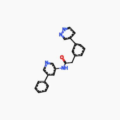 O=C(Cc1cccc(-c2ccnnc2)c1)Nc1cncc(-c2ccccc2)c1